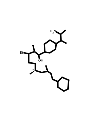 CCC(CC[C@H](C)CC(C)CCC1CCCCC1)C(C)C(O)C1CCC(C(C)C(C)N)CC1